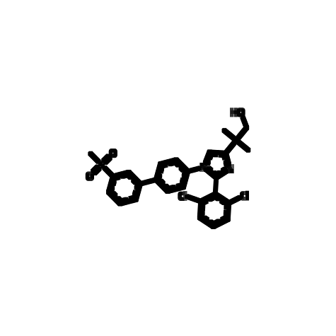 CC(C)(CO)c1cn(-c2ccc(-c3cccc(S(C)(=O)=O)c3)cc2)c(-c2c(Cl)cccc2Cl)n1